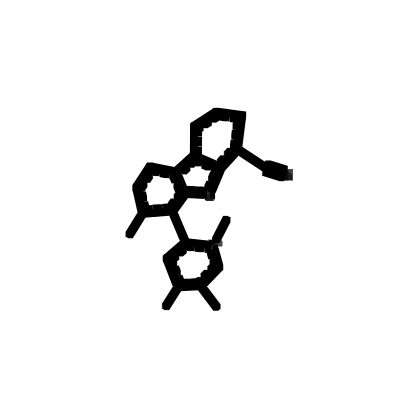 Cc1cc(-c2c(C)ccc3c2oc2c(C#N)cccc23)[n+](C)cc1C